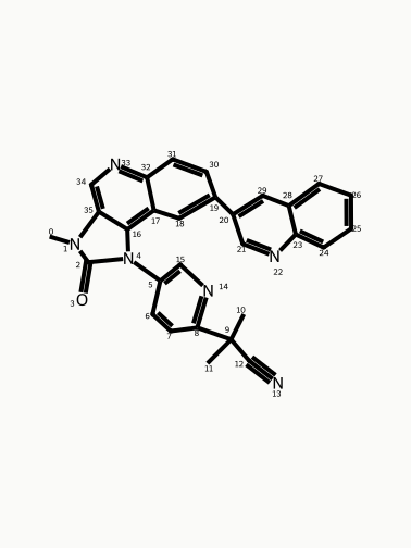 Cn1c(=O)n(-c2ccc(C(C)(C)C#N)nc2)c2c3cc(-c4cnc5ccccc5c4)ccc3ncc21